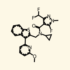 COc1cccc(-c2c(CN(C(=O)c3c(C(F)F)nn(C)c3F)C3CC3)sc3ccccc23)n1